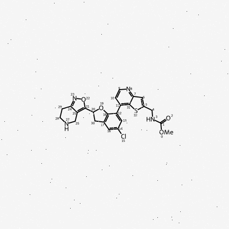 COC(=O)NCc1cc2nccc(-c3cc(Cl)cc4c3OC(c3onc5c3CNCC5)C4)c2s1